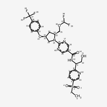 CCS(=O)(=O)c1ccc(C(CO)NC(=O)c2cnc(N3C[C@@H](Oc4ccc(C(F)(F)F)cc4)C[C@H]3COC(F)F)nc2)nc1